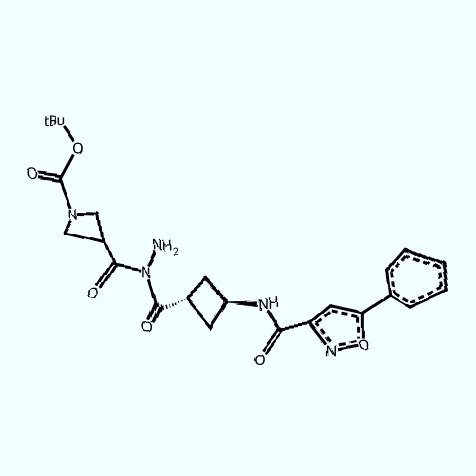 CC(C)(C)OC(=O)N1CC(C(=O)N(N)C(=O)[C@H]2C[C@H](NC(=O)c3cc(-c4ccccc4)on3)C2)C1